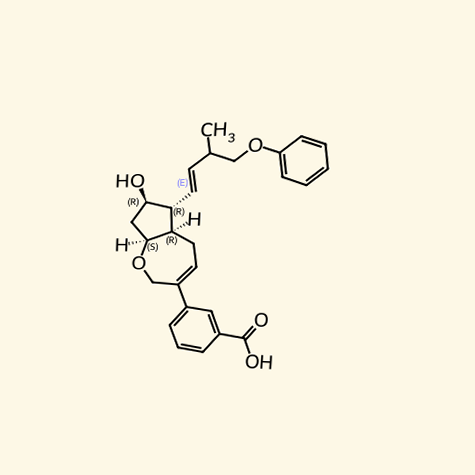 CC(/C=C/[C@@H]1[C@H]2CC=C(c3cccc(C(=O)O)c3)CO[C@H]2C[C@H]1O)COc1ccccc1